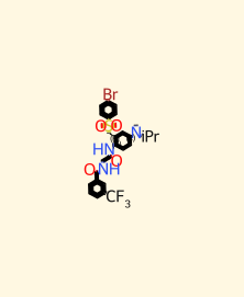 CC(C)N(C)[C@@H]1CC[C@H](NC(=O)CNC(=O)c2cccc(C(F)(F)F)c2)[C@H](CS(=O)(=O)c2ccc(Br)cc2)C1